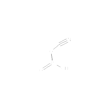 N#CO[PH](=O)O